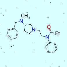 CCC(=O)N(CCN1CC[C@H](N(C)Cc2ccccc2)C1)c1ccccc1